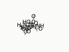 CCOP(=O)(OCC)[C@H](O[Si](C)(C)C(C)(C)C)[C@H](N)[C@H]1O[C@@H](n2cc(C)c(=O)[nH]c2=O)[C@H](OCCOC)[C@@H]1O